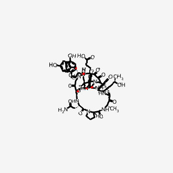 C[C@@H]1NC(=O)[C@@H]2CCCN2C(=O)[C@H](CC(N)=O)NC2SSC3NCN(C3=O)C3SSC(N[C@@H]([C@@H](C)O)C(=O)NCC(=O)C(N[C@H](C=O)Cc4ccc(O)cc4)SSC2C(=O)[C@H](Cc2ccc(O)cc2)NN[C@@H](CCC(=O)O)C(=O)C3=O)C1=O